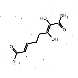 NC(=O)C=CCCC(O)=C(O)C(N)=O